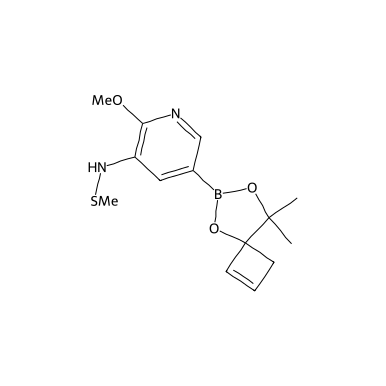 COc1ncc(B2OC(C)(C)C3(C=CC3)O2)cc1NSC